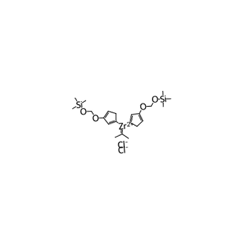 C[C](C)=[Zr+2]([C]1=CC(OCO[Si](C)(C)C)=CC1)[C]1=CC(OCO[Si](C)(C)C)=CC1.[Cl-].[Cl-]